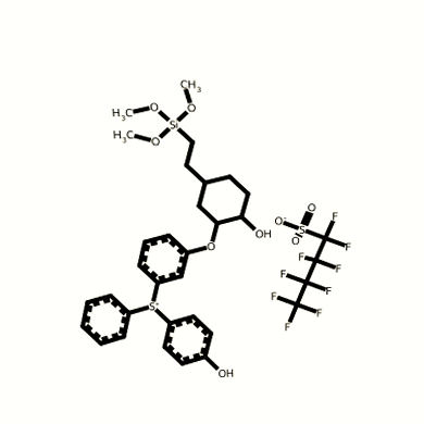 CO[Si](CCC1CCC(O)C(Oc2cccc([S+](c3ccccc3)c3ccc(O)cc3)c2)C1)(OC)OC.O=S(=O)([O-])C(F)(F)C(F)(F)C(F)(F)C(F)(F)F